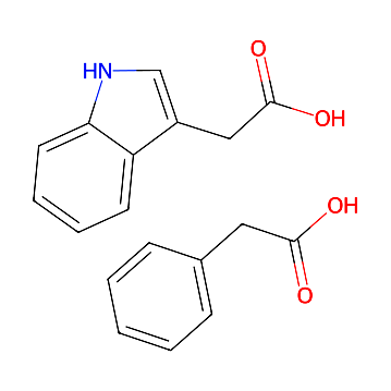 O=C(O)Cc1c[nH]c2ccccc12.O=C(O)Cc1ccccc1